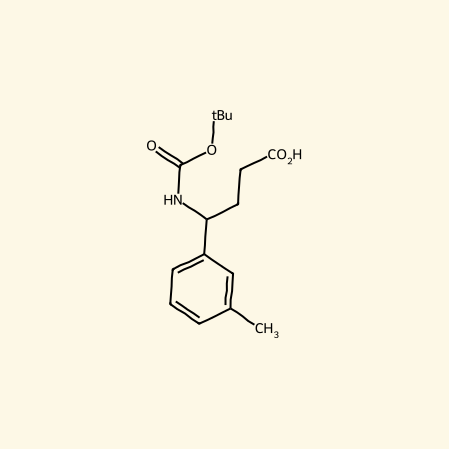 Cc1cccc(C(CCC(=O)O)NC(=O)OC(C)(C)C)c1